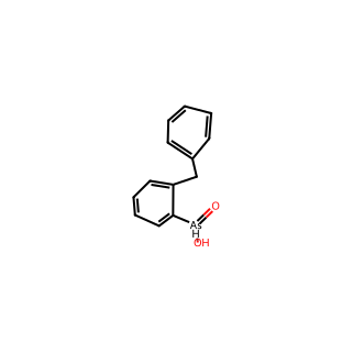 O=[AsH](O)c1ccccc1Cc1ccccc1